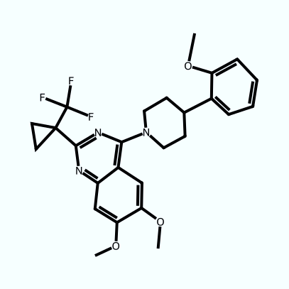 COc1cc2nc(C3(C(F)(F)F)CC3)nc(N3CCC(c4ccccc4OC)CC3)c2cc1OC